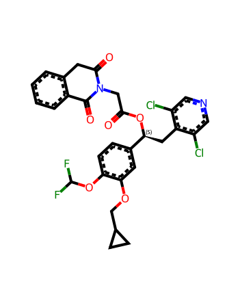 O=C(CN1C(=O)Cc2ccccc2C1=O)O[C@@H](Cc1c(Cl)cncc1Cl)c1ccc(OC(F)F)c(OCC2CC2)c1